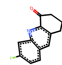 O=C1CCCc2cc3ccc(F)cc3nc21